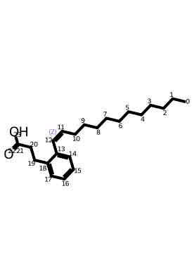 CCCCCCCCCCC/C=C\c1ccccc1CCC(=O)O